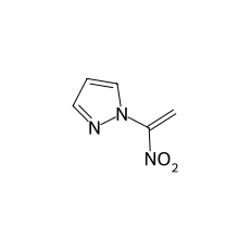 C=C(n1cccn1)[N+](=O)[O-]